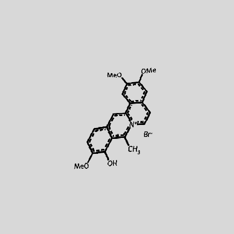 COc1cc2cc[n+]3c(C)c4c(O)c(OC)ccc4cc3c2cc1OC.[Br-]